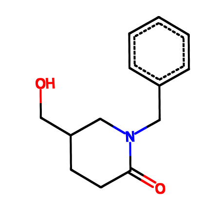 O=C1CCC(CO)CN1Cc1ccccc1